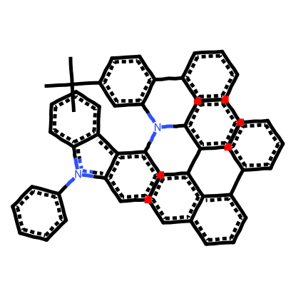 CC(C)(C)c1ccc(-c2ccccc2)c(N(c2ccccc2-c2cccc3cccc(-c4ccccc4)c23)c2cccc3c2c2ccccc2n3-c2ccccc2)c1